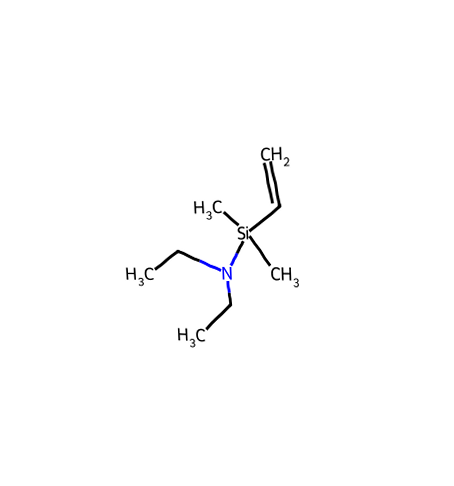 C=C[Si](C)(C)N(CC)CC